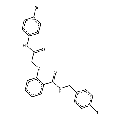 O=C(COc1ccccc1C(=O)NCc1ccc(I)cc1)Nc1ccc(Br)cc1